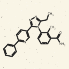 CCc1nnc(-c2ccc(-c3ccccc3)nc2)n1-c1cccc(C(N)=O)c1C